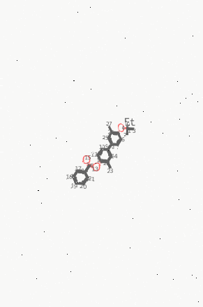 CCC(C)(C)Oc1ccc(-c2ccc(OC(=O)c3ccccc3)c(C)c2)cc1C